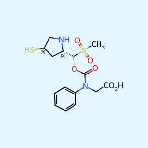 CS(=O)(=O)C(OC(=O)N(CC(=O)O)c1ccccc1)[C@@H]1C[C@@H](S)CN1